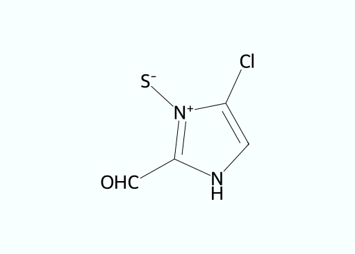 O=Cc1[nH]cc(Cl)[n+]1[S-]